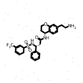 NCCc1ccc2c(c1)OCC[C@H]2NC(=O)C[C@@H](NS(=O)(=O)C1C=C(C(F)(F)F)C=CC1)c1ccccc1